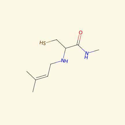 CNC(=O)C(CS)NCC=C(C)C